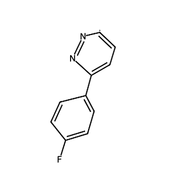 Fc1ccc(-c2cc[c]nn2)cc1